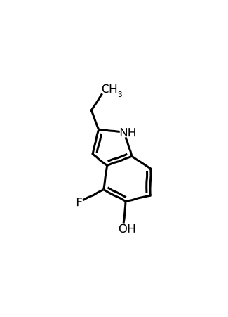 CCc1cc2c(F)c(O)ccc2[nH]1